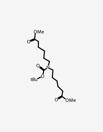 COC(=O)CCCCCN(CCCCCC(=O)OC)C(=O)OC(C)(C)C